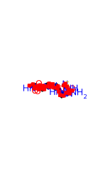 C=C1CC[C@H](N2C(=O)c3ccc(N4CCC(CN5CCC(C(=O)N[C@@H]6CCCN(c7cnc(C(N)=O)c(Nc8cc(C)ns8)n7)C6)CC5)CC4)cc3C2=O)C(=O)N1